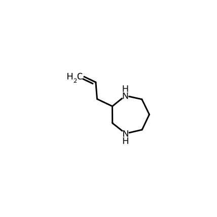 C=CCC1CNCCCN1